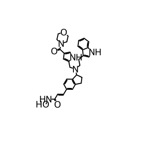 O=C(C=Cc1ccc2c(c1)CCC2N(CCc1c[nH]c2ccccc12)Cc1cc(C(=O)N2CCOCC2)c[nH]1)NO